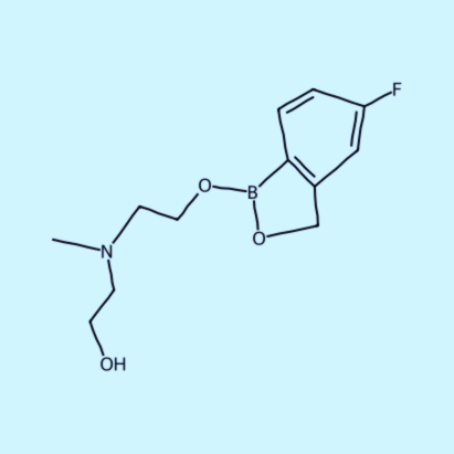 CN(CCO)CCOB1OCc2cc(F)ccc21